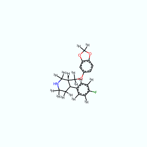 [2H]c1c([2H])c(C2C([2H])([2H])C([2H])([2H])NC([2H])([2H])[C@]2([2H])C([2H])([2H])Oc2ccc3c(c2)OC([2H])([2H])O3)c([2H])c([2H])c1F